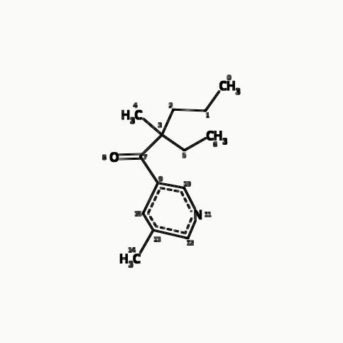 CCCC(C)(CC)C(=O)c1cncc(C)c1